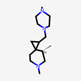 C[C@@H]1CN(C)CCC12CC2CN1CCN(C)CC1